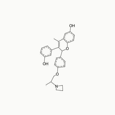 CC1=C(c2cccc(O)c2)C(c2ccc(OCC(C)N3CCC3)cc2)Oc2ccc(O)cc21